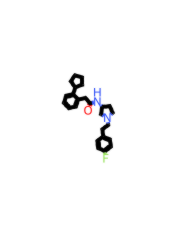 O=C(Cc1ccccc1C1CCCC1)NC1CCN(CCc2ccc(F)cc2)C1